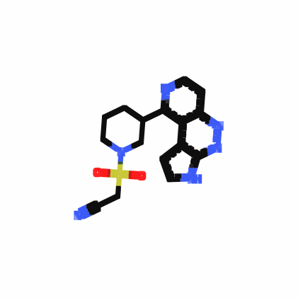 N#CCS(=O)(=O)N1CCCC(c2nccc3nnc4[nH]ccc4c23)C1